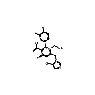 CCn1c(Cn2cncc2Cl)cc(=O)c(C(=O)O)c1-c1ccc(Cl)c(Cl)c1